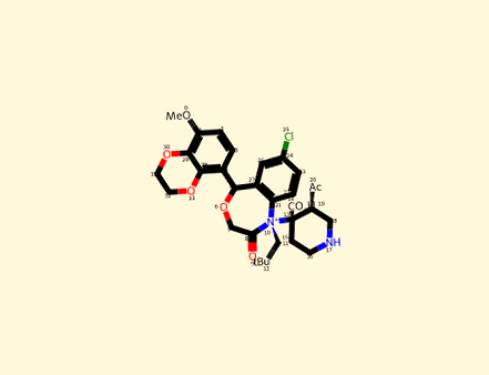 COc1ccc(C2OCC(=O)[N@@+](CC(C)(C)C)([C@@]3(C(=O)O)CCNC[C@@H]3C(C)=O)c3ccc(Cl)cc32)c2c1OCCO2